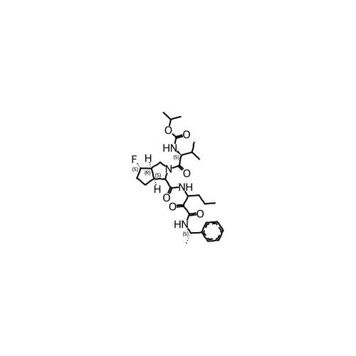 CCCC(NC(=O)C1[C@H]2CC[C@H](F)[C@H]2CN1C(=O)[C@@H](NC(=O)OC(C)C)C(C)C)C(=O)C(=O)N[C@@H](C)c1ccccc1